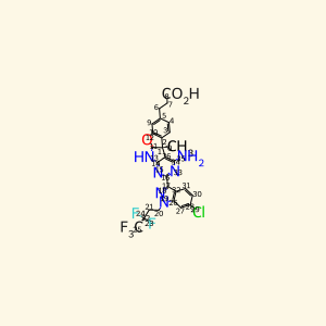 C[C@]1(c2ccc(CCC(=O)O)cc2)C(=O)Nc2nc(-c3nn(CCC(F)(F)C(F)(F)F)c4cc(Cl)ccc34)nc(N)c21